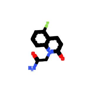 NC(=O)Cn1c(=O)ccc2c(F)cccc21